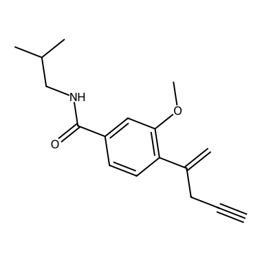 C#CCC(=C)c1ccc(C(=O)NCC(C)C)cc1OC